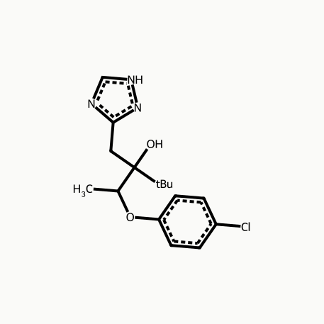 CC(Oc1ccc(Cl)cc1)C(O)(Cc1nc[nH]n1)C(C)(C)C